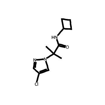 CC(C)(C(=O)NC1CCC1)n1cc(Cl)cn1